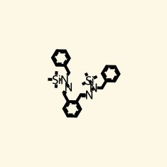 C[Si](C)(C)N(Cc1ccccc1)N=Cc1ccccc1C=NN(Cc1ccccc1)[Si](C)(C)C